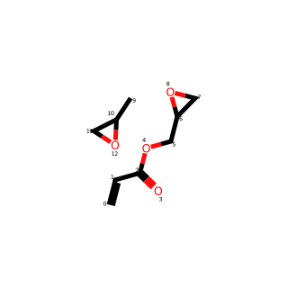 C=CC(=O)OCC1CO1.CC1CO1